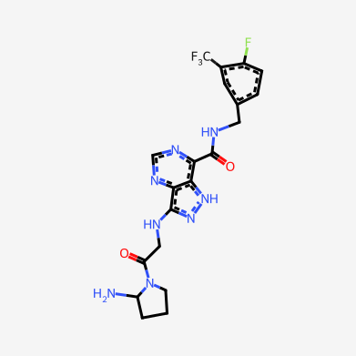 NC1CCCN1C(=O)CNc1n[nH]c2c(C(=O)NCc3ccc(F)c(C(F)(F)F)c3)ncnc12